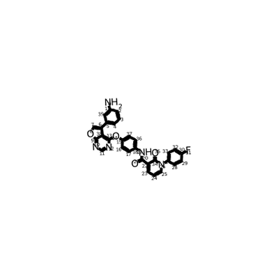 Nc1cccc(-c2coc3ncnc(Oc4ccc(NC(=O)c5cccn(-c6ccc(F)cc6)c5=O)cc4)c23)c1